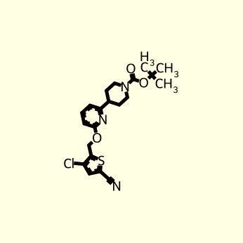 CC(C)(C)OC(=O)N1CCC(c2cccc(OCc3sc(C#N)cc3Cl)n2)CC1